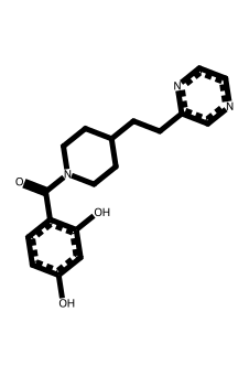 O=C(c1ccc(O)cc1O)N1CCC(CCc2cnccn2)CC1